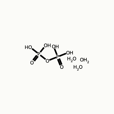 O.O.O.O=P(O)(O)OP(=O)(O)O